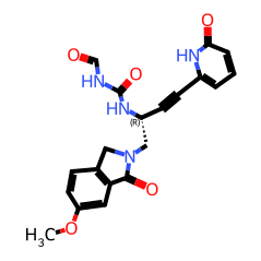 COc1ccc2c(c1)C(=O)N(C[C@@H](C#Cc1cccc(=O)[nH]1)NC(=O)NC=O)C2